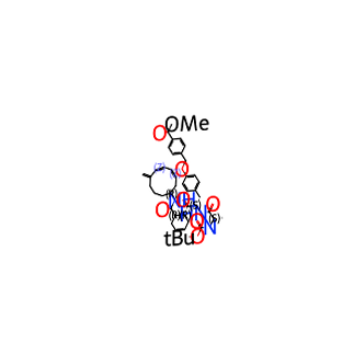 C=C1/C=C\C=C/C[C@H](NC(=O)[C@@H]2CC=CC[C@H]2C(=O)[C@H](Cc2ccc(OCc3ccc(C(=O)OC)cc3)cc2)NC(=O)[C@H](C)N(C)C(=O)OC(C)(C)C)CCC1